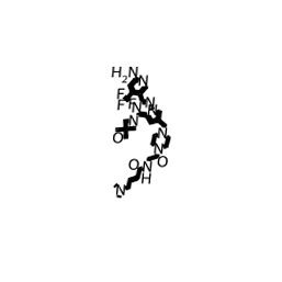 CN(C)C/C=C/C(=O)NCC(=O)N1CCN(Cc2cc3c(N4CC5(COC5)C4)nc(-c4cnc(N)cc4C(F)(F)F)nn3c2)CC1